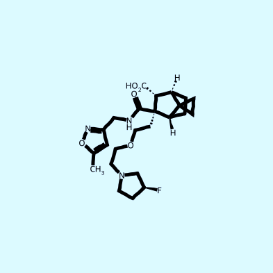 Cc1cc(CNC(=O)[C@@]2(CCOCCN3CC[C@H](F)C3)[C@H](C(=O)O)[C@H]3CC[C@H]2C32CC2)no1